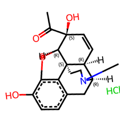 CC(=O)[C@]1(O)C=C[C@H]2[C@H]3Cc4ccc(O)c5c4[C@@]2(CCN3C)[C@H]1O5.Cl